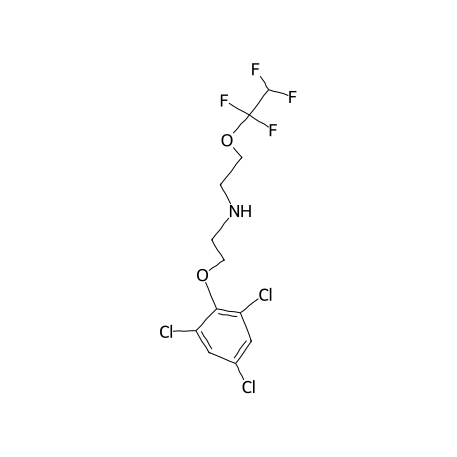 FC(F)C(F)(F)OCCNCCOc1c(Cl)cc(Cl)cc1Cl